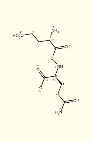 NC(=O)CC[C@H](NOC(=O)[C@@H](N)CCC(=O)O)C([O])=O